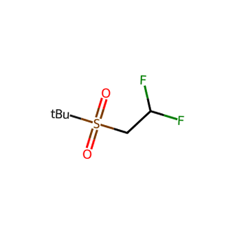 CC(C)(C)S(=O)(=O)CC(F)F